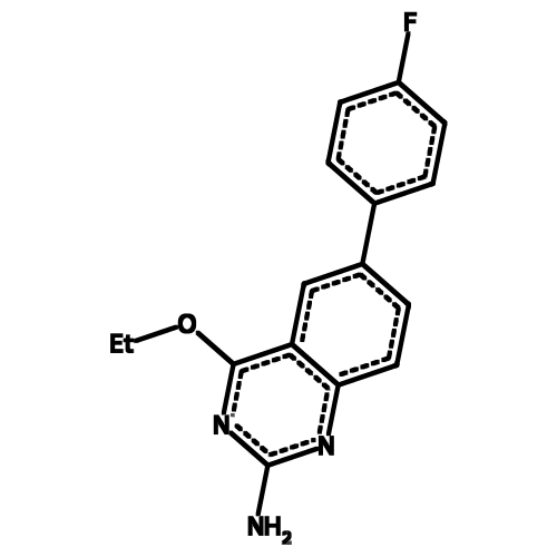 CCOc1nc(N)nc2ccc(-c3ccc(F)cc3)cc12